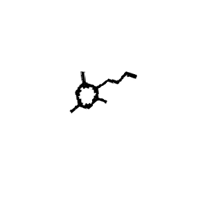 C=CCCc1c(C)cc(C)cc1C